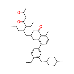 CCCC(CC1CC(=O)c2c(C)ccc(-c3ccc(CC)c(CC4CCC(C)CC4)c3)c2C1)C(CC)C(=O)CC(C)=O